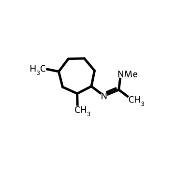 CN/C(C)=N\C1CCCC(C)CC1C